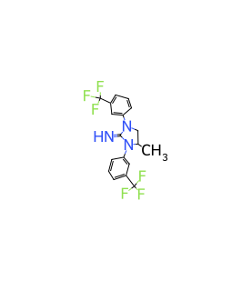 CC1CN(c2cccc(C(F)(F)F)c2)C(=N)N1c1cccc(C(F)(F)F)c1